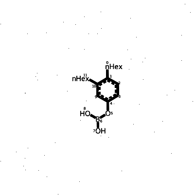 CCCCCCc1ccc(OB(O)O)cc1CCCCCC